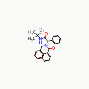 CC(C)(C)NC(=O)[C@H](c1ccccc1)N(Cc1ccccc1)C(=O)c1ccccc1